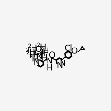 [2H]C1([2H])OC([2H])([2H])C([2H])([2H])N(c2ncccc2CNC(=O)c2cnnc(-c3ccc(OCC4CC4)c(Cl)c3)c2)C1([2H])[2H]